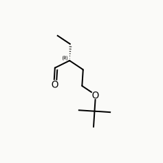 CC[C@@H](C=O)CCOC(C)(C)C